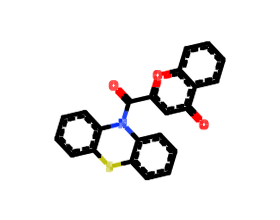 O=C(c1cc(=O)c2ccccc2o1)N1c2ccccc2Sc2ccccc21